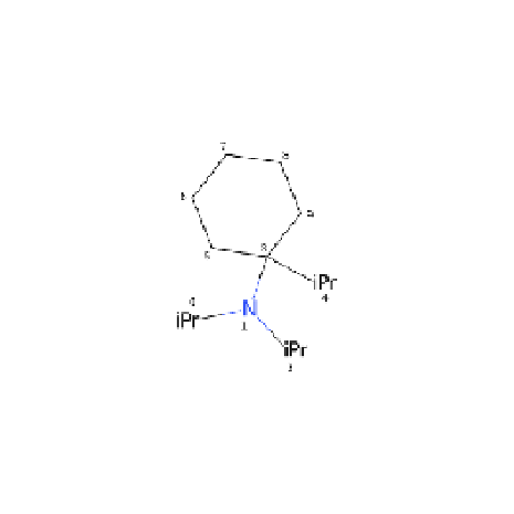 CC(C)N(C(C)C)C1(C(C)C)CCCCC1